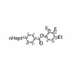 CCCCCCCc1ccc(C(=O)Oc2ccc(CC)c(F)c2F)cc1